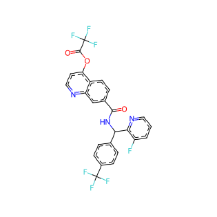 O=C(NC(c1ccc(C(F)(F)F)cc1)c1ncccc1F)c1ccc2c(OC(=O)C(F)(F)F)ccnc2c1